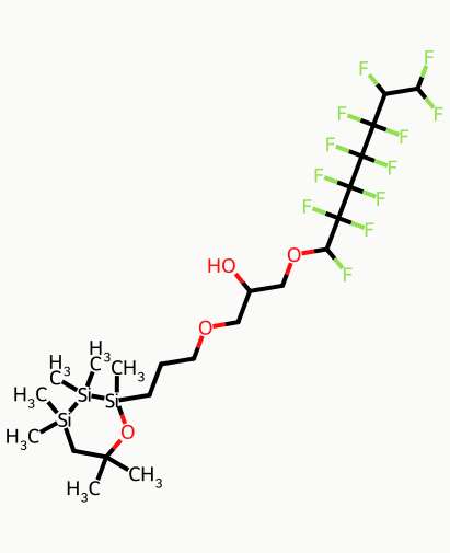 CC1(C)C[Si](C)(C)[Si](C)(C)[Si](C)(CCCOCC(O)COC(F)C(F)(F)C(F)(F)C(F)(F)C(F)(F)C(F)C(F)F)O1